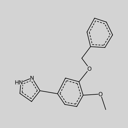 COc1ccc(-c2cc[nH]n2)cc1OCc1ccccc1